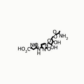 CC(N)C(=O)OCC1OC(n2ccc(NC(=O)CC(N)C(=O)O)nc2=O)C(O)C1O